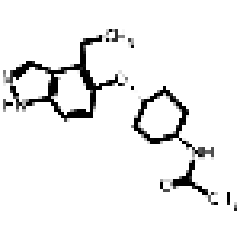 CCc1c(O[C@H]2CC[C@H](NC(C)=O)CC2)ccc2[nH]ncc12